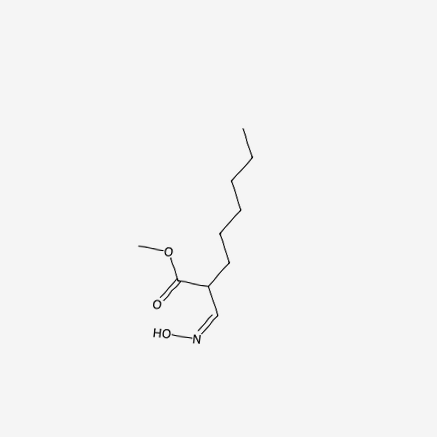 CCCCCCC(/C=N\O)C(=O)OC